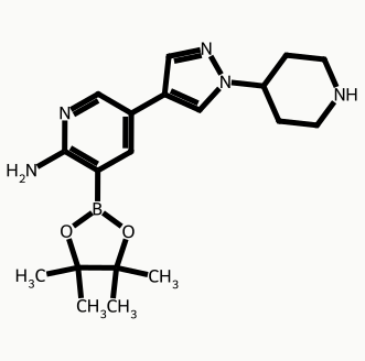 CC1(C)OB(c2cc(-c3cnn(C4CCNCC4)c3)cnc2N)OC1(C)C